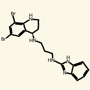 Brc1cc(Br)c2c(c1)[C@H](NCCCNc1nc3ccccc3[nH]1)CCN2